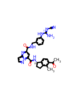 CC(=O)c1ccc2c(c1C)CC[C@@H]2NC(=O)c1cc(C(=O)NCc2cccc(N/C(N)=N/C#N)c2)nc2ccnn12